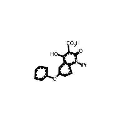 CC(C)n1c(=O)c(C(=O)O)c(O)c2cc(Oc3ccccc3)ccc21